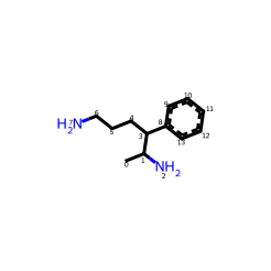 CC(N)C(CCCN)c1ccccc1